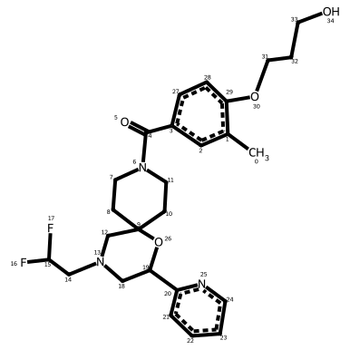 Cc1cc(C(=O)N2CCC3(CC2)CN(CC(F)F)CC(c2ccccn2)O3)ccc1OCCCO